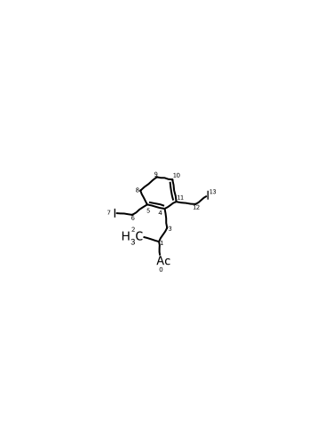 CC(=O)C(C)CC1=C(CI)CCC=C1CI